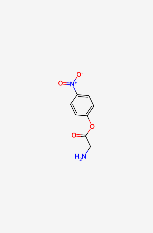 NCC(=O)Oc1ccc([N+](=O)[O-])cc1